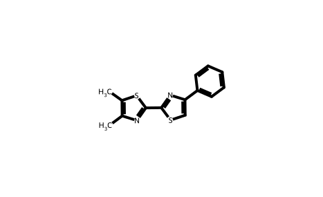 Cc1nc(-c2nc(-c3ccccc3)cs2)sc1C